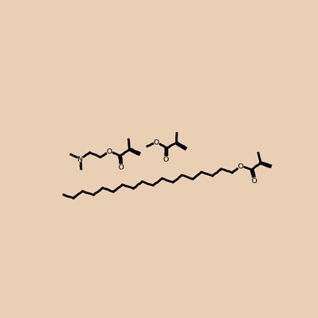 C=C(C)C(=O)OC.C=C(C)C(=O)OCCCCCCCCCCCCCCCCCC.C=C(C)C(=O)OCCN(C)C